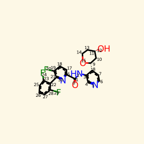 O=C(Nc1cnccc1[C@H]1C[C@@H](O)CCO1)c1ccc(F)c(-c2c(F)cccc2F)n1